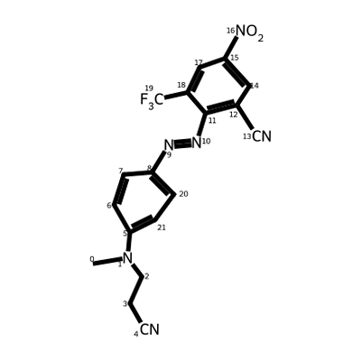 CN(CCC#N)c1ccc(N=Nc2c(C#N)cc([N+](=O)[O-])cc2C(F)(F)F)cc1